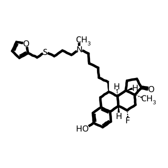 CN(CCCCC[C@@H]1Cc2cc(O)ccc2[C@@H]2[C@@H]1[C@@H]1CCC(=O)[C@@]1(C)C[C@@H]2F)CCCSCc1ccco1